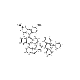 CC(C)(C)c1ccc2c(c1)c1cc(C(C)(C)C)ccc1n2-c1c2ccccc2c(-c2cccc3oc4cc(-c5c6ccccc6c(-c6ccccc6)c6ccccc56)ccc4c23)c2ccccc12